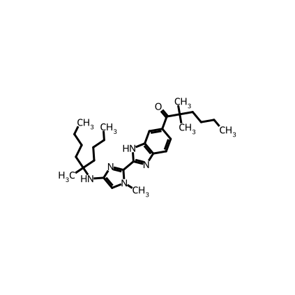 CCCCC(C)(CCCC)Nc1cn(C)c(-c2nc3ccc(C(=O)C(C)(C)CCCC)cc3[nH]2)n1